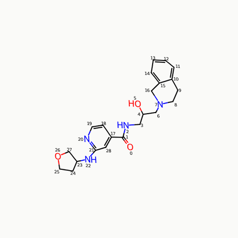 O=C(NCC(O)CN1CCc2ccccc2C1)c1ccnc(NC2CCOC2)c1